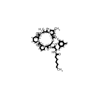 CCCCCCC(=O)N[C@@H](Cc1cc(F)cc(F)c1)C(=O)N[C@H]1COC(=O)[C@@H]2C[C@@H](C)CN2C(=O)[C@H](C)NC(=O)[C@@H]2CCCCN2C(=O)[C@@H]2CCCN2C1=O